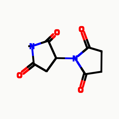 O=C1CC(N2C(=O)CCC2=O)C(=O)[N]1